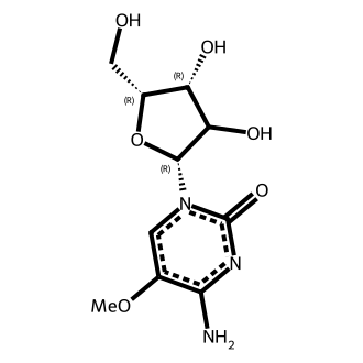 COc1cn([C@@H]2O[C@H](CO)[C@H](O)C2O)c(=O)nc1N